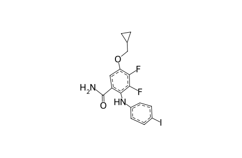 NC(=O)c1cc(OCC2CC2)c(F)c(F)c1Nc1ccc(I)cc1